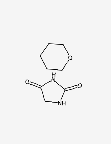 C1CCOCC1.O=C1CNC(=O)N1